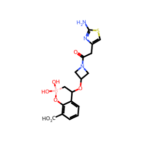 Nc1nc(CC(=O)N2CC(OC3C[B-](O)(O)Oc4c(C(=O)O)cccc43)C2)cs1